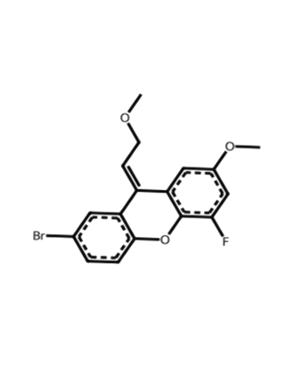 COC/C=C1/c2cc(Br)ccc2Oc2c(F)cc(OC)cc21